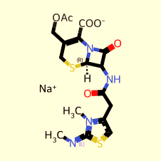 C/N=c1/scc(CC(=O)NC2C(=O)N3C(C(=O)[O-])=C(COC(C)=O)CS[C@H]23)n1C.[Na+]